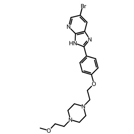 COCCN1CCN(CCOc2ccc(-c3nc4cc(Br)cnc4[nH]3)cc2)CC1